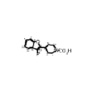 O=C(O)N1CCC(c2oc3ccccc3c2F)CC1